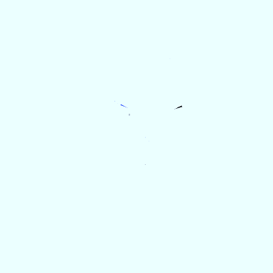 C[C@H]1CN(C(=O)OCc2ccccc2)C[C@@H](NC(=O)OC(C)(C)C)[C@@H]1OC(C)(C)C(C)(C)C